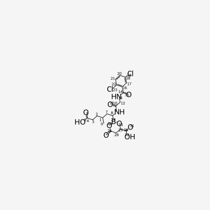 CC(CCC(=O)O)CC(NC(=O)CNC(=O)c1cc(Cl)ccc1Cl)B1OC(=O)CC(C(=O)O)O1